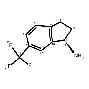 N[C@@H]1CCc2ccc(C(F)(F)F)cc21